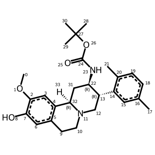 COc1cc2c(cc1O)CCN1C[C@@H](c3cc(C)ccc3C)[C@H](NC(=O)OC(C)(C)C)C[C@H]21